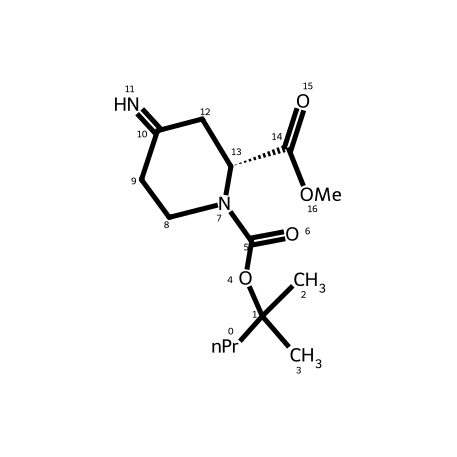 CCCC(C)(C)OC(=O)N1CCC(=N)C[C@@H]1C(=O)OC